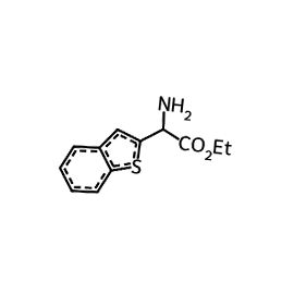 CCOC(=O)C(N)c1cc2ccccc2s1